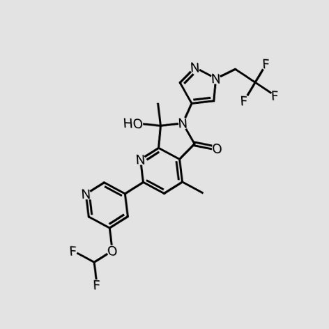 Cc1cc(-c2cncc(OC(F)F)c2)nc2c1C(=O)N(c1cnn(CC(F)(F)F)c1)C2(C)O